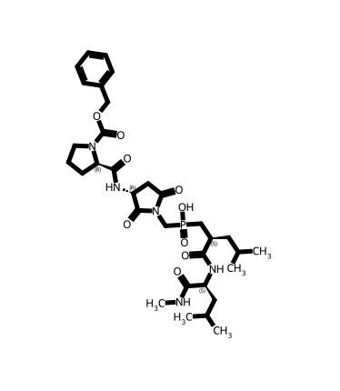 CNC(=O)[C@H](CC(C)C)NC(=O)[C@H](CC(C)C)CP(=O)(O)CN1C(=O)C[C@@H](NC(=O)[C@H]2CCCN2C(=O)OCc2ccccc2)C1=O